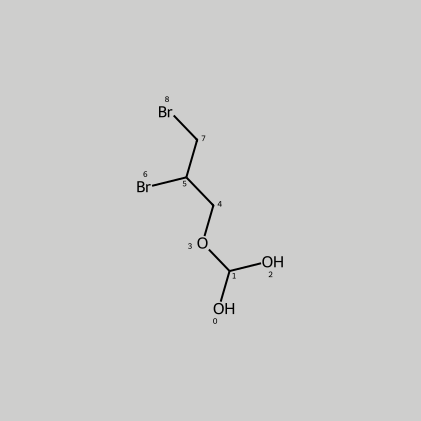 OC(O)OCC(Br)CBr